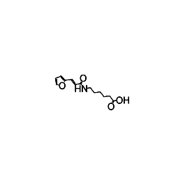 O=C(O)CCCCCNC(=O)/C=C/c1ccco1